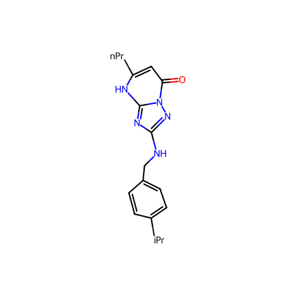 CCCc1cc(=O)n2nc(NCc3ccc(C(C)C)cc3)nc2[nH]1